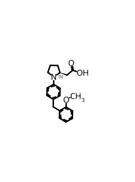 COc1ccccc1Cc1ccc(N2CCC[C@H]2CC(=O)O)cc1